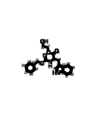 O=C(NC(Cc1c[nH]c2ccccc12)C(=O)OCCO)OCc1ccccc1